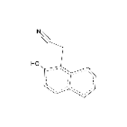 N#CCc1c(O)ccc2ccccc12